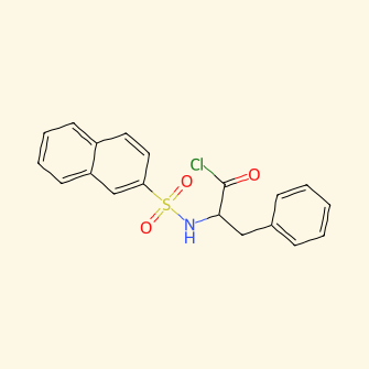 O=C(Cl)C(Cc1ccccc1)NS(=O)(=O)c1ccc2ccccc2c1